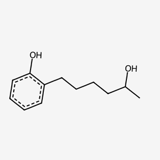 CC(O)CCCCc1ccccc1O